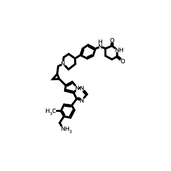 Cc1cc(-c2ncnn3cc(C4CC4CN4CCC(c5ccc(NC6CCC(=O)NC6=O)cc5)CC4)cc23)ccc1CN